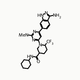 CNc1nc(-c2ccc3c(N)n[nH]c3c2)cc(N2CC(C(=O)NC3CCCCC3)CCC2C(F)(F)F)n1